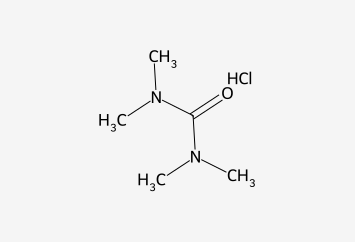 CN(C)C(=O)N(C)C.Cl